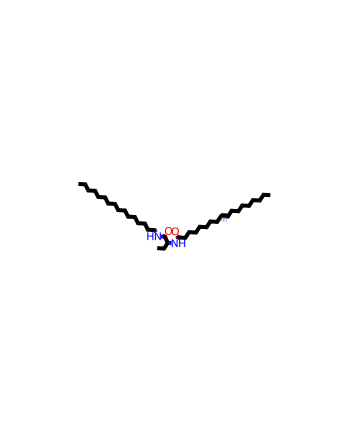 CCCCCCCC/C=C/CCCCCCCC(=O)NC(CC)C(=O)NCCCCCCCCCCCCCCCC